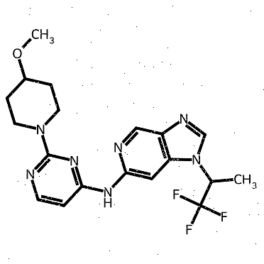 COC1CCN(c2nccc(Nc3cc4c(cn3)ncn4C(C)C(F)(F)F)n2)CC1